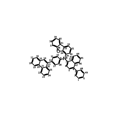 c1ccc(-c2ccc(N(c3ccc(-c4cc5ccccc5c5ccccc45)cc3)c3cccc4c3oc3ccccc34)c3ccccc23)cc1